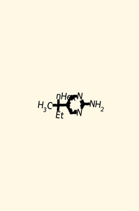 CCCCCCC(C)(CC)c1cnc(N)nc1